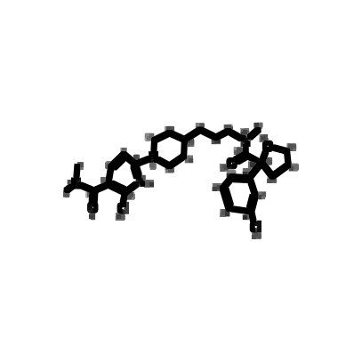 CN(C)C(=O)c1ccc(N2CCC(CCCN(C)C(=O)[C@]3(c4cccc(Cl)c4)CCCO3)CC2)nc1Cl